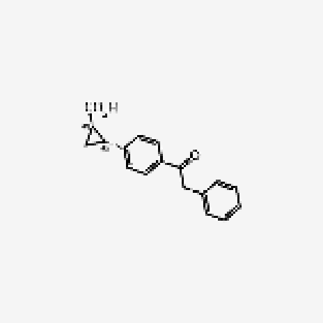 O=C(Cc1ccccc1)c1ccc([C@@H]2C[C@H]2C(=O)O)cc1